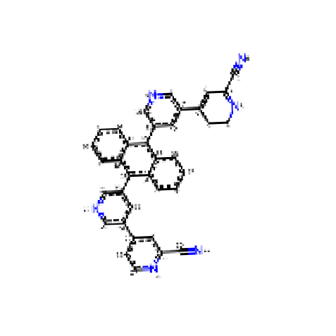 N#CC1=NCCC(c2cncc(-c3c4ccccc4c(-c4cncc(-c5ccnc(C#N)c5)c4)c4ccccc34)c2)=C1